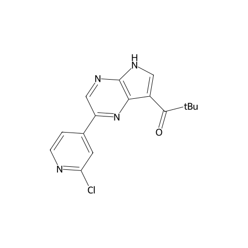 CC(C)(C)C(=O)c1c[nH]c2ncc(-c3ccnc(Cl)c3)nc12